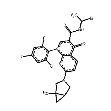 CCC(NC(=O)c1cn(-c2c(F)cc(F)cc2Cl)c2nc(N3CC4CC4(O)C3)ccc2c1=O)C(F)(F)F